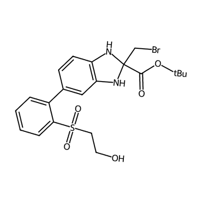 CC(C)(C)OC(=O)C1(CBr)Nc2ccc(-c3ccccc3S(=O)(=O)CCO)cc2N1